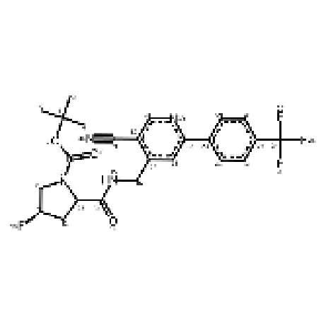 CC(C)(C)OC(=O)N1C[C@H](F)CC1C(=O)NCc1cc(-c2ccc(C(F)(F)F)cc2)ncc1C#N